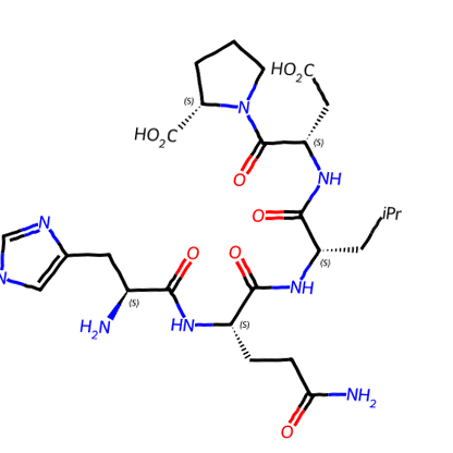 CC(C)C[C@H](NC(=O)[C@H](CCC(N)=O)NC(=O)[C@@H](N)Cc1c[nH]cn1)C(=O)N[C@@H](CC(=O)O)C(=O)N1CCC[C@H]1C(=O)O